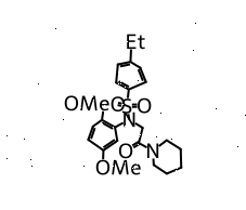 CCc1ccc(S(=O)(=O)N(CC(=O)N2CCCCC2)c2cc(OC)ccc2OC)cc1